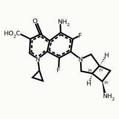 Nc1c(F)c(N2C[C@H]3C[C@@H](N)[C@H]3C2)c(F)c2c1c(=O)c(C(=O)O)cn2C1CC1